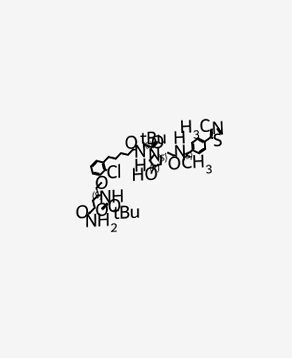 Cc1ncsc1-c1ccc([C@H](C)NC(=O)C[C@@H]2C[C@@H](O)CN2C(=O)[C@@H](NC(=O)CCCCc2cccc(OC[C@H](CCC(N)=O)NC(=O)OC(C)(C)C)c2Cl)C(C)(C)C)cc1